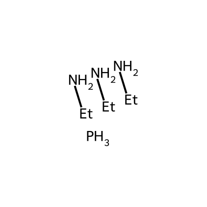 CCN.CCN.CCN.P